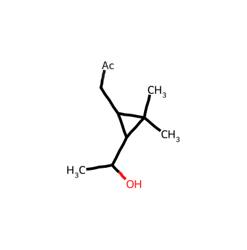 CC(=O)CC1C(C(C)O)C1(C)C